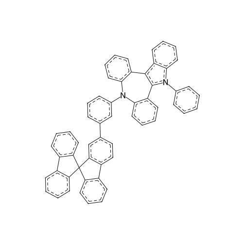 c1ccc(-n2c3c(c4ccccc42)-c2ccccc2N(c2cccc(-c4ccc5c(c4)C4(c6ccccc6-c6ccccc64)c4ccccc4-5)c2)c2ccccc2-3)cc1